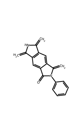 C=C1c2cc3c(=C)[nH]c(=C)c3cc2C(=O)N1c1ccccc1